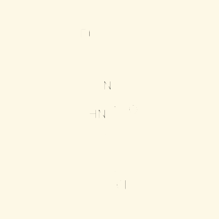 CCC1CCN(C(=O)Nc2ccc(Cl)cc2)CC1